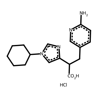 Cl.Nc1ccc(CC(C(=O)O)c2cn(C3CCCCC3)cn2)cn1